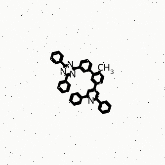 Cc1ccc(-c2cc(-c3ccccc3)nc(-c3ccccc3)c2)cc1-c1cccc(-c2nc(-c3ccccc3)nc(-c3ccccc3)n2)c1